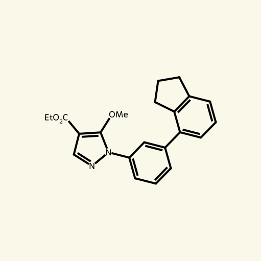 CCOC(=O)c1cnn(-c2cccc(-c3cccc4c3CCC4)c2)c1OC